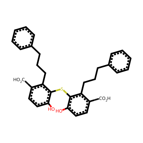 O=C(O)c1ccc(O)c(Sc2c(O)ccc(C(=O)O)c2CCCc2ccccc2)c1CCCc1ccccc1